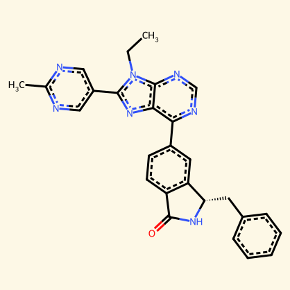 CCn1c(-c2cnc(C)nc2)nc2c(-c3ccc4c(c3)[C@H](Cc3ccccc3)NC4=O)ncnc21